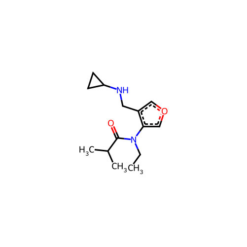 CCN(C(=O)C(C)C)c1cocc1CNC1CC1